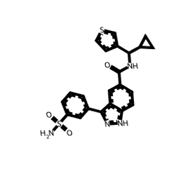 NS(=O)(=O)c1cccc(-c2n[nH]c3ccc(C(=O)NC(c4ccsc4)C4CC4)cc23)c1